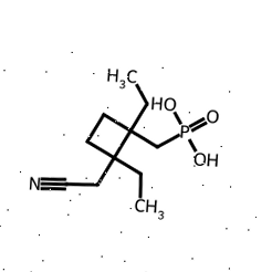 CCC1(CC#N)CCC1(CC)CP(=O)(O)O